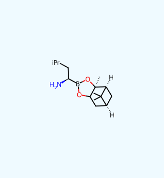 CC(C)C[C@H](N)B1OC2C[C@@H]3C[C@@H](C3(C)C)[C@]2(C)O1